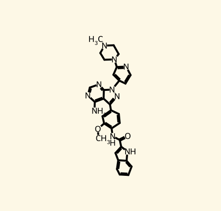 COc1cc(-c2nn(-c3ccnc(N4CCN(C)CC4)c3)c3ncnc(N)c23)ccc1NC(=O)c1cc2ccccc2[nH]1